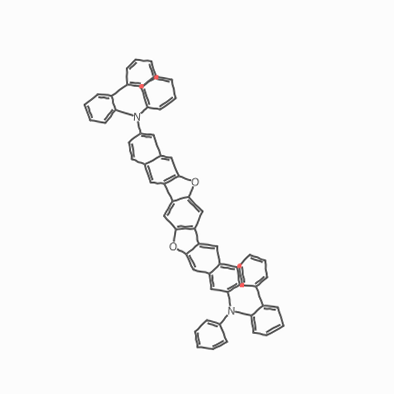 c1ccc(-c2ccccc2N(c2ccccc2)c2ccc3cc4c(cc3c2)oc2cc3c(cc24)oc2cc4cc(N(c5ccccc5)c5ccccc5-c5ccccc5)ccc4cc23)cc1